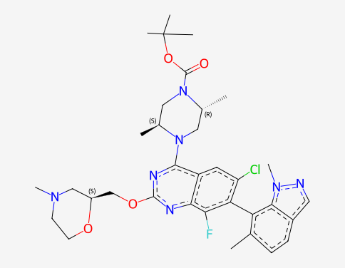 Cc1ccc2cnn(C)c2c1-c1c(Cl)cc2c(N3C[C@@H](C)N(C(=O)OC(C)(C)C)C[C@@H]3C)nc(OC[C@@H]3CN(C)CCO3)nc2c1F